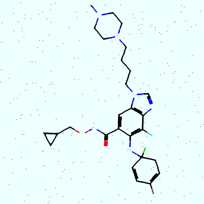 CN1CCN(CCCCn2cnc3c(F)c(NC4(Cl)C=CC(Br)=CC4)c(C(=O)NOCC4CC4)cc32)CC1